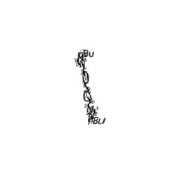 CCCCN1C=CN(CCOCCOCCn2cc[n+](CCCC)c2)C1